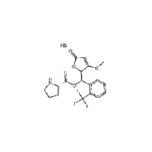 Br.COC1=CC(=O)OC1C(OC(=O)[C@@H]1CCCN1)c1ccccc1C(F)(F)F